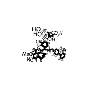 COc1c(C#N)cc2ccccc2c1C(=O)N(C)CC(CCN1CCC(c2ccccc2S(C)(=O)=O)CC1)c1ccc(Cl)c(Cl)c1.O=C(O)CC(O)(CC(=O)O)C(=O)O